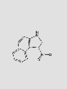 O=[N+]([O-])C1CNc2ccc3ccccc3c21